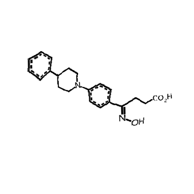 O=C(O)CC/C(=N\O)c1ccc(N2CCC(c3ccccc3)CC2)cc1